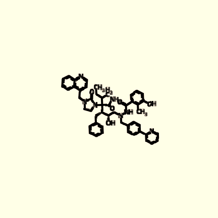 CCC(C)C(C(N)=O)([C@H](Cc1ccccc1)[C@H](O)CN(Cc1ccc(-c2ccccn2)cc1)NC(=O)c1cccc(O)c1C)N1CCN(Cc2ccnc3ccccc23)C1=O